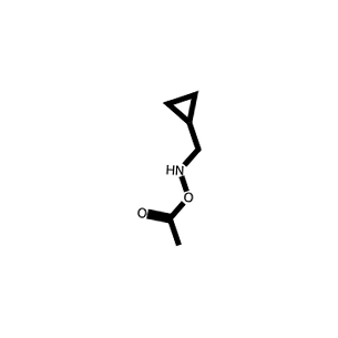 CC(=O)ONCC1CC1